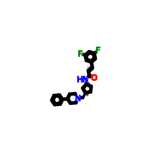 O=C(/C=C/c1cc(F)cc(F)c1)N[C@H]1CC[C@@H](CN2CCC(c3ccccc3)CC2)C1